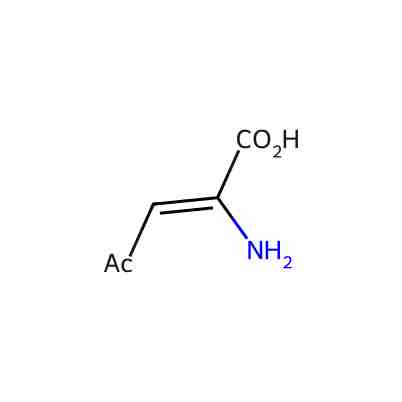 CC(=O)C=C(N)C(=O)O